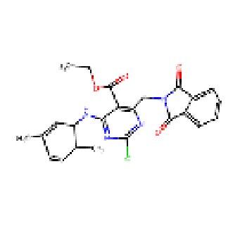 CCOC(=O)c1c(CN2C(=O)c3ccccc3C2=O)nc(Cl)nc1NC1C=C(C)C=CC1C